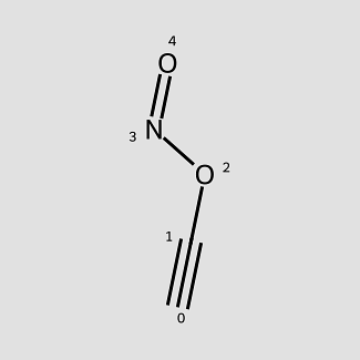 C#CON=O